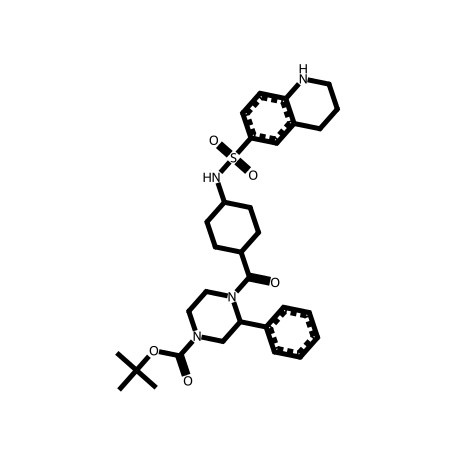 CC(C)(C)OC(=O)N1CCN(C(=O)C2CCC(NS(=O)(=O)c3ccc4c(c3)CCCN4)CC2)C(c2ccccc2)C1